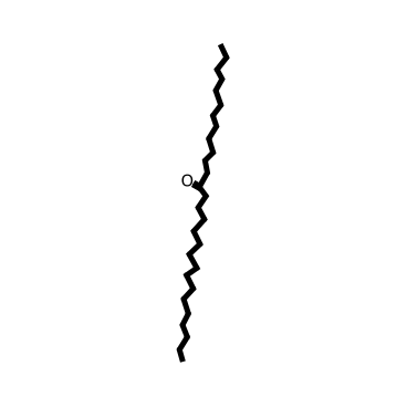 CCCCCCCCCCCCCCCC(=O)CCCCCCCCCCCC